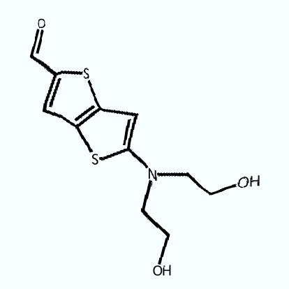 O=Cc1cc2sc(N(CCO)CCO)cc2s1